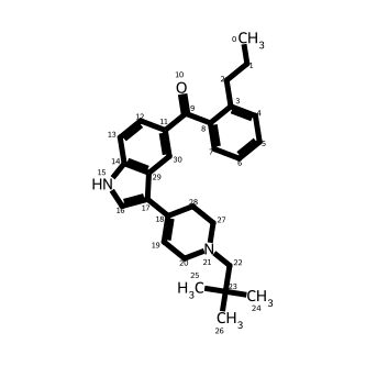 CCCc1ccccc1C(=O)c1ccc2[nH]cc(C3=CCN(CC(C)(C)C)CC3)c2c1